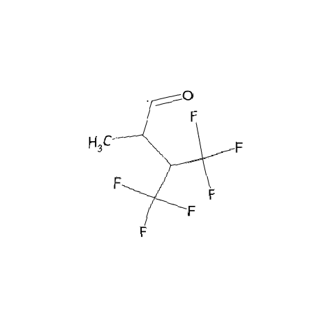 CC([C]=O)C(C(F)(F)F)C(F)(F)F